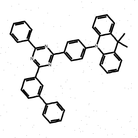 CC1(C)c2ccccc2N(c2ccc(-c3nc(-c4ccccc4)nc(-c4cccc(-c5ccccc5)c4)n3)cc2)c2ccccc21